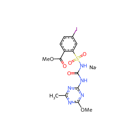 COC(=O)c1ccc(I)cc1S(=O)(=O)NC(=O)Nc1nc(C)nc(OC)n1.[Na]